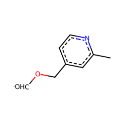 Cc1cc(CO[C]=O)ccn1